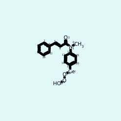 CN(C(=O)C=Cc1ccccc1)c1cc[c]([Ge][O]OO)cc1